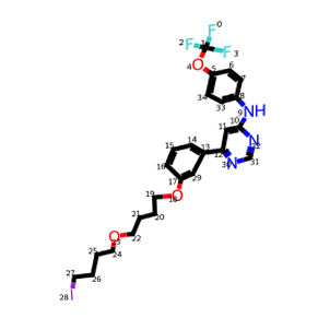 FC(F)(F)Oc1ccc(Nc2cc(-c3cccc(OCCCCOCCCCI)c3)ncn2)cc1